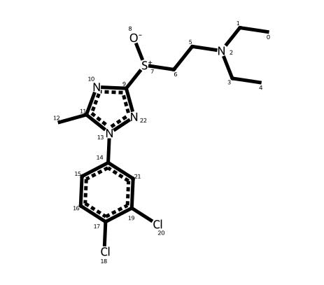 CCN(CC)CC[S+]([O-])c1nc(C)n(-c2ccc(Cl)c(Cl)c2)n1